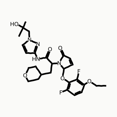 CCOc1ccc(F)c(OC2C=CC(=O)N2C(CC2CCOCC2)C(=O)Nc2ccn(CC(C)(C)O)n2)c1F